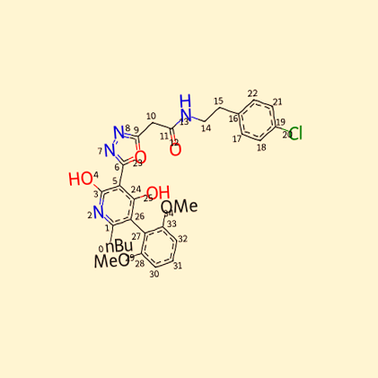 CCCCc1nc(O)c(-c2nnc(CC(=O)NCCc3ccc(Cl)cc3)o2)c(O)c1-c1c(OC)cccc1OC